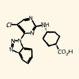 O=C(O)[C@H]1CC[C@H](Nc2ncc(Cl)c(-n3nnc4ccccc43)n2)CC1